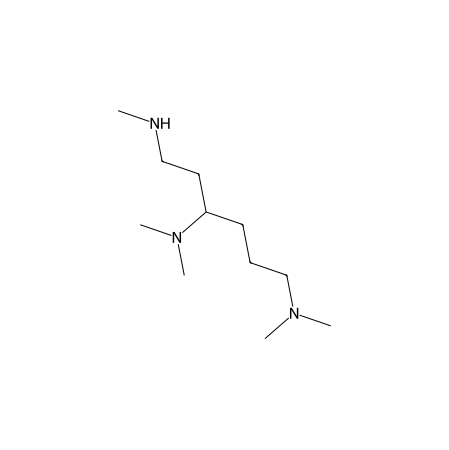 CNCCC(CCCN(C)C)N(C)C